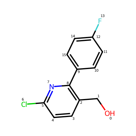 OCc1ccc(Cl)nc1-c1ccc(F)cc1